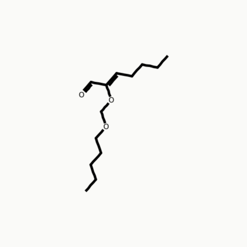 CCCCC=C(C=O)OCOCCCCC